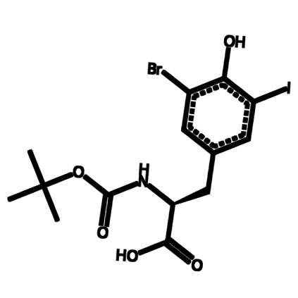 CC(C)(C)OC(=O)N[C@@H](Cc1cc(Br)c(O)c(I)c1)C(=O)O